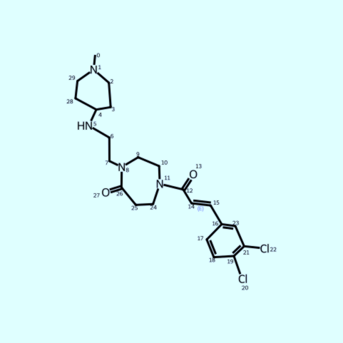 CN1CCC(NCCN2CCN(C(=O)/C=C/c3ccc(Cl)c(Cl)c3)CCC2=O)CC1